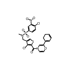 CN(Cc1csc(C(=O)N2C=COC(C3=CC=CCC3)=C2)c1Cl)S(=O)(=O)c1ccc(Cl)c([N+](=O)[O-])c1